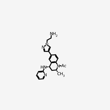 CC(=O)N1c2ccc(-c3cnn(CCN)c3)cc2[C@H](Nc2ccccn2)C[C@@H]1C